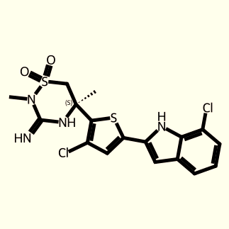 CN1C(=N)N[C@](C)(c2sc(-c3cc4cccc(Cl)c4[nH]3)cc2Cl)CS1(=O)=O